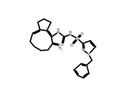 C=C1CCCC/C=C2/CCC/C2=C/1NC(=O)NS(=O)(=O)c1ccn(Cc2ccccc2)n1